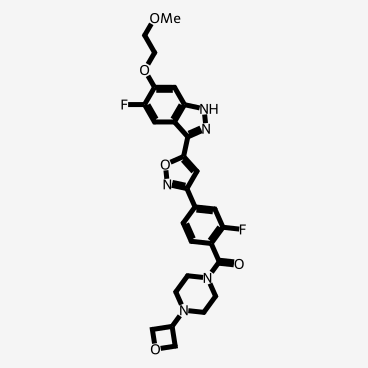 COCCOc1cc2[nH]nc(-c3cc(-c4ccc(C(=O)N5CCN(C6COC6)CC5)c(F)c4)no3)c2cc1F